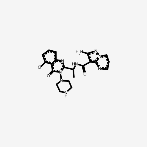 CC(NC(=O)c1c(N)nn2cccnc12)c1nc2cccc(Cl)c2c(=O)n1N1CCNCC1